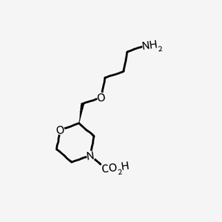 NCCCOC[C@H]1CN(C(=O)O)CCO1